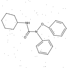 O=C(NC1CCCCC1)N(Oc1ccccc1)c1ccccc1